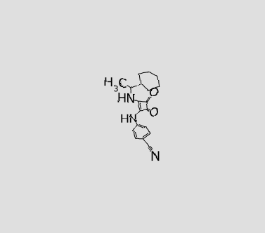 CC(Nc1c(Nc2ccc(C#N)cc2)c(=O)c1=O)C1CCCCC1